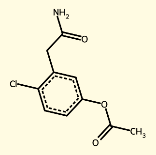 CC(=O)Oc1ccc(Cl)c(CC(N)=O)c1